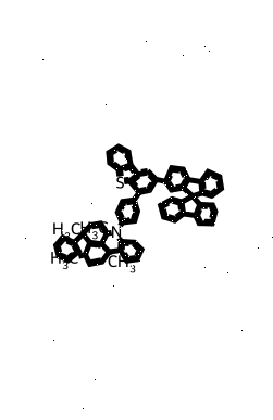 CC1C=CC2(C)C3=C1C(C)(c1ccccc1)C=CC3(C)N(c1ccc(-c3cc(-c4ccc5c(c4)C4(c6ccccc6-c6ccccc64)c4ccccc4-5)cc4c3sc3ccccc34)cc1)c1ccccc12